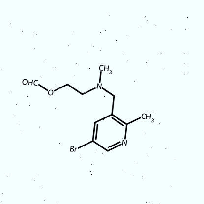 Cc1ncc(Br)cc1CN(C)CCOC=O